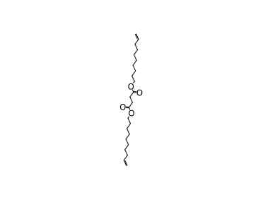 C=CCCCCCCCCOC(=O)CCC(=O)OCCCCCCCCC=C